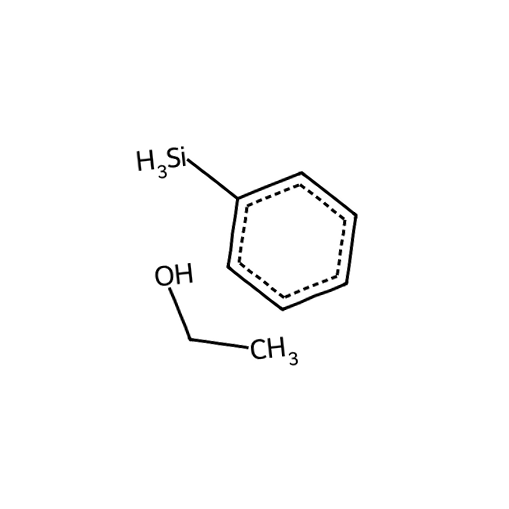 CCO.[SiH3]c1ccccc1